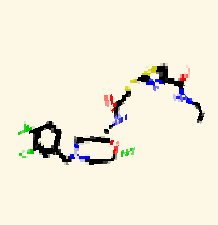 CCNC(=O)c1csc(SCC(=O)NC[C@H]2CN(Cc3ccc(Cl)c(Cl)c3)CCO2)n1.Cl